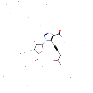 CC(O)CC#Cc1c(C(N)=O)ncn1C1O[C@H](CO)[C@@H](O)[C@H]1O